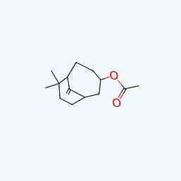 C=C1C2CCC(C)(C)C1CCC(OC(C)=O)C2